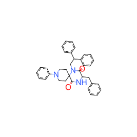 O=C1C(Cc2ccccc2)NC(=O)C2(CCN(c3ccccc3)CC2)N1CC(c1ccccc1)c1ccccc1